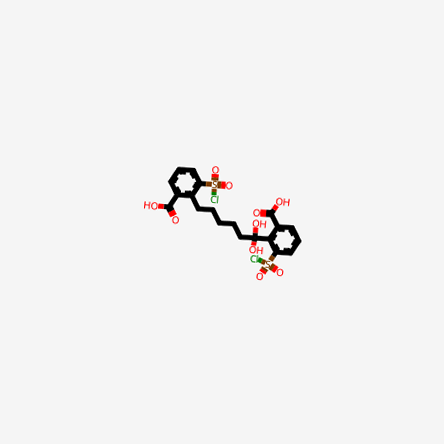 O=C(O)c1cccc(S(=O)(=O)Cl)c1CCCCCC(O)(O)c1c(C(=O)O)cccc1S(=O)(=O)Cl